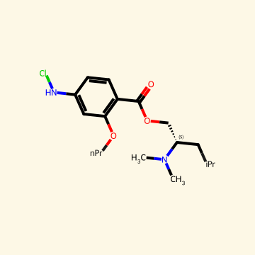 CCCOc1cc(NCl)ccc1C(=O)OC[C@H](CC(C)C)N(C)C